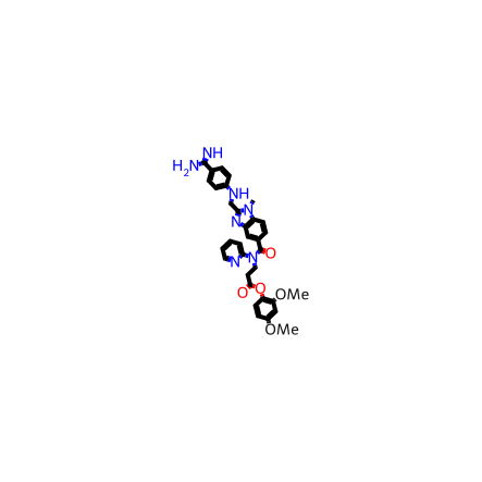 COc1ccc(OC(=O)CCN(C(=O)c2ccc3c(c2)nc(CNc2ccc(C(=N)N)cc2)n3C)c2ccccn2)c(OC)c1